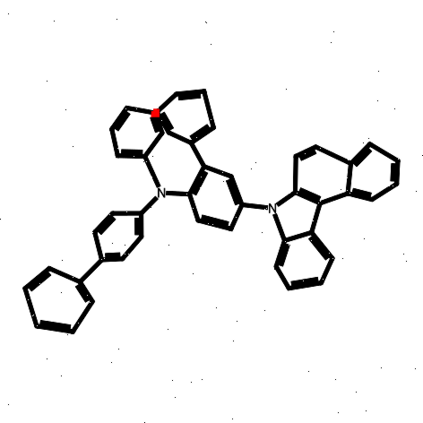 c1ccc(-c2ccc(N(c3ccccc3)c3ccc(-n4c5ccccc5c5c6ccccc6ccc54)cc3-c3ccccc3)cc2)cc1